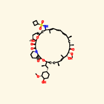 CO[C@@H]1C[C@H](C[C@@H](C)[C@@H]2CC[C@H](C)/C=C(\C)[C@@H](O)[C@@H](OC)C(=O)[C@H](C)C[C@H](C)/C=C/C=C/C=C(\C)[C@H](NS(=O)(=O)C3CCC3)C[C@@H]3CC[C@@H](C)[C@@](O)(O3)C(=O)C(=O)N3CCCC[C@H]3C(=O)O2)CC[C@H]1O